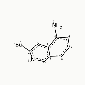 CCCCc1cc2c(N)cccc2cn1